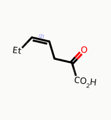 CC/C=C\CC(=O)C(=O)O